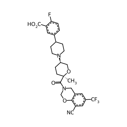 C[C@]1(C(=O)N2COc3c(C#N)cc(C(F)(F)F)cc3C2)CC[C@@H](N2CCC(c3ccc(F)c(C(=O)O)c3)CC2)CO1